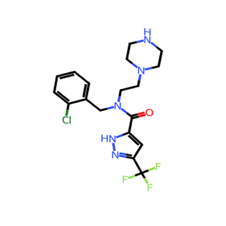 O=C(c1cc(C(F)(F)F)n[nH]1)N(CCN1CCNCC1)Cc1ccccc1Cl